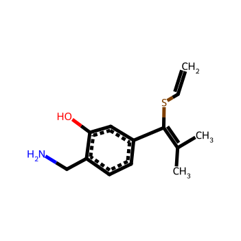 C=CSC(=C(C)C)c1ccc(CN)c(O)c1